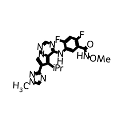 CONC(=O)c1cc(Nc2ncnn3cc(-c4ncn(C)n4)c(C(C)C)c23)c(F)cc1F